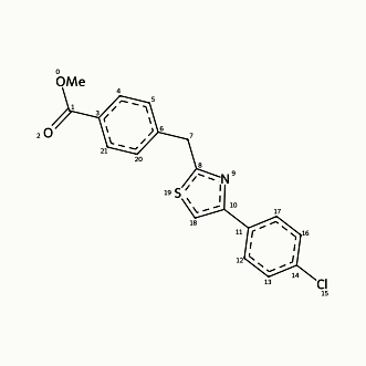 COC(=O)c1ccc(Cc2nc(-c3ccc(Cl)cc3)cs2)cc1